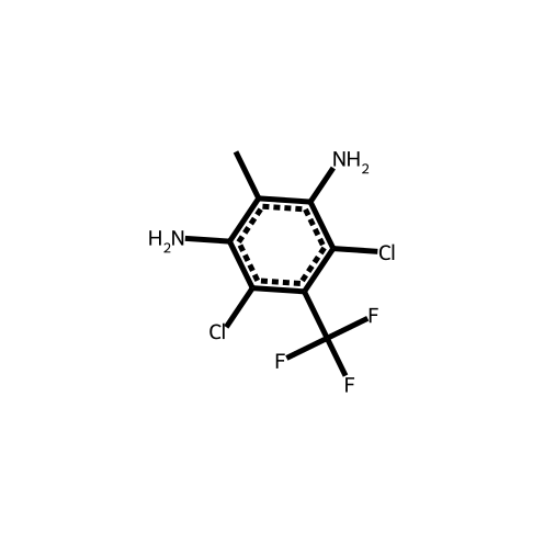 Cc1c(N)c(Cl)c(C(F)(F)F)c(Cl)c1N